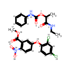 CCNC(=O)C(C)OC(=O)Nc1ccccc1.COC(=O)c1cc(Oc2ccc(Cl)cc2Cl)ccc1[N+](=O)[O-]